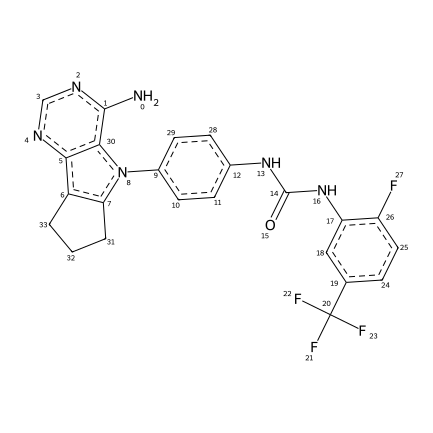 Nc1ncnc2c3c(n(-c4ccc(NC(=O)Nc5cc(C(F)(F)F)ccc5F)cc4)c12)CCC3